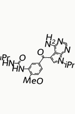 CCCNC(=O)Nc1cc(C(=O)c2cn(C(C)C)c3ncnc(N)c23)ccc1OC